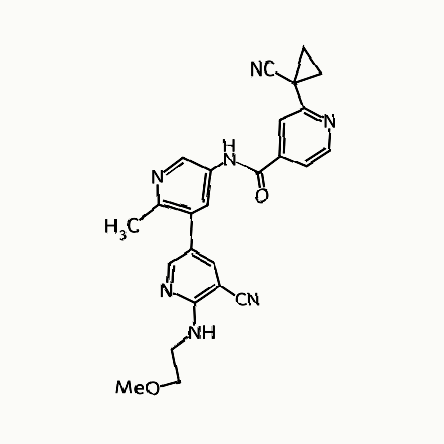 COCCNc1ncc(-c2cc(NC(=O)c3ccnc(C4(C#N)CC4)c3)cnc2C)cc1C#N